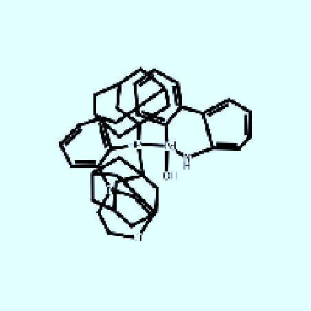 [OH][Pd]1([PH](c2ccccc2N2CCOCC2)(C23CC4CC(CC(C4)C2)C3)C23CC4CC(CC(C4)C2)C3)[NH]c2ccccc2-c2cccc[c]21